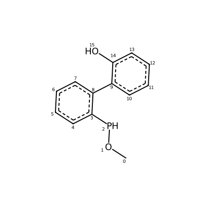 COPc1ccccc1-c1ccccc1O